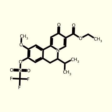 CCOC(=O)c1cn2c(cc1=O)-c1cc(OC)c(OS(=O)(=O)C(F)(F)F)cc1CC2C(C)C